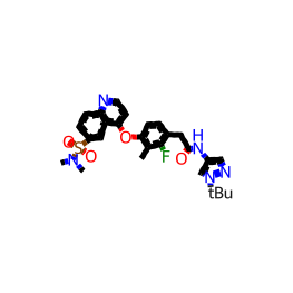 Cc1c(Oc2ccnc3ccc(S(=O)(=O)N(C)C)cc23)ccc(CC(=O)Nc2cnn(C(C)(C)C)c2)c1F